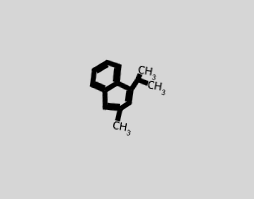 Cc1cc(C(C)C)c2ccccc2c1